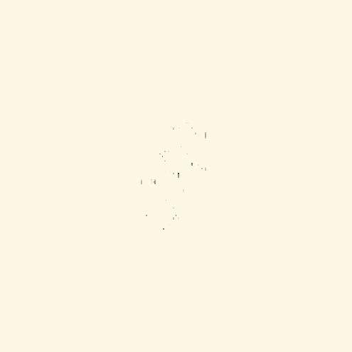 Nc1nc2nc[nH]c2c(=O)n1CC1CCCCO1